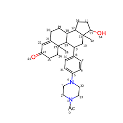 CC(=O)N1CCN(c2ccc(C3CC4(C)C(O)CCC4C4CCC5=CC(=O)CCC5(C)C34)cc2)CC1